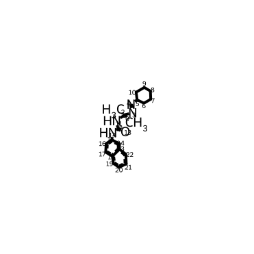 CC(C)(/N=N/C1CCCCC1)NC(=O)Nc1ccc2ccccc2c1